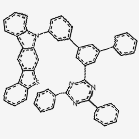 c1ccc(-c2cc(-c3cccc(-n4c5ccccc5c5cc6c(cc54)sc4ccccc46)c3)cc(-c3nc(-c4ccccc4)nc(-c4ccccc4)n3)c2)cc1